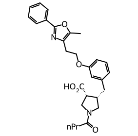 CCCC(=O)N1C[C@@H](Cc2cccc(OCCc3nc(-c4ccccc4)oc3C)c2)[C@@H](C(=O)O)C1